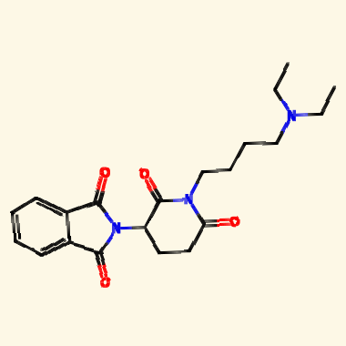 CCN(CC)CCCCN1C(=O)CCC(N2C(=O)c3ccccc3C2=O)C1=O